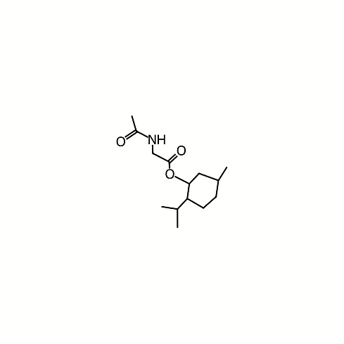 CC(=O)NCC(=O)OC1CC(C)CCC1C(C)C